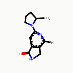 [2H]c1nc(N2CCCC2C)cc2c1CNC2=O